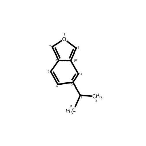 CC(C)c1ccc2[c]occ2c1